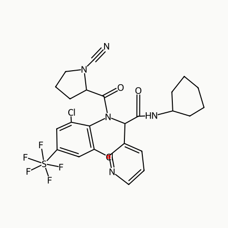 N#CN1CCCC1C(=O)N(c1c(Cl)cc(S(F)(F)(F)(F)F)cc1Cl)C(C(=O)NC1CCCCC1)c1cccnc1